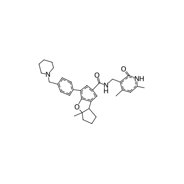 Cc1cc(C)c(CNC(=O)c2cc(-c3ccc(CN4CCCCC4)cc3)c3c(c2)C2CCCC2(C)O3)c(=O)[nH]1